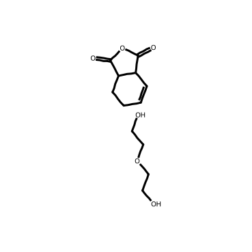 O=C1OC(=O)C2CCC=CC12.OCCOCCO